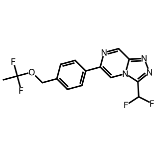 CC(F)(F)OCc1ccc(-c2cn3c(C(F)F)nnc3cn2)cc1